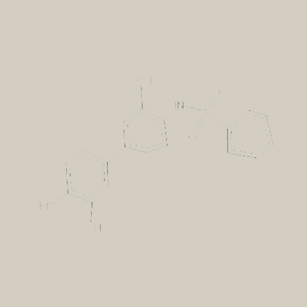 CCc1ccc(-c2ccc(NS(=O)(=O)c3ccccc3)c(C)c2)cc1C